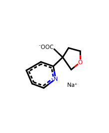 O=C([O-])C1(c2ccccn2)CCOC1.[Na+]